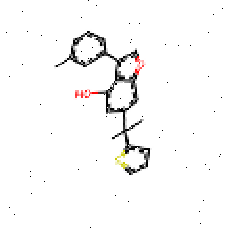 Cc1cccc(-c2coc3cc(C(C)(C)c4cccs4)cc(O)c23)c1